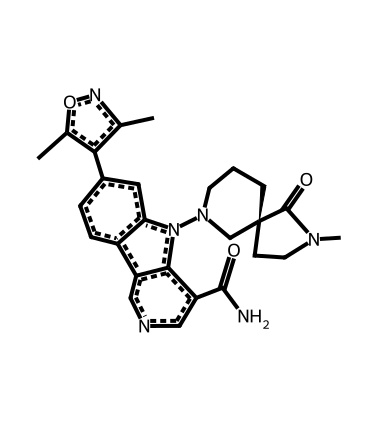 Cc1noc(C)c1-c1ccc2c3cncc(C(N)=O)c3n(N3CCC[C@@]4(CCN(C)C4=O)C3)c2c1